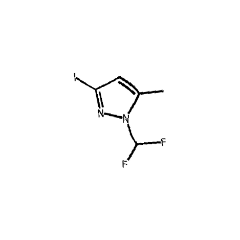 Cc1cc(I)nn1C(F)F